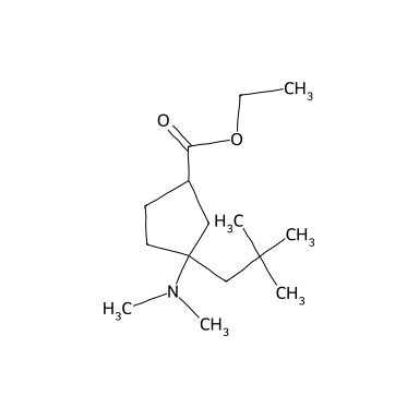 CCOC(=O)C1CCC(CC(C)(C)C)(N(C)C)C1